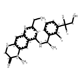 CCc1nc(N[C@H](C)c2cccc(C(F)(F)CO)c2F)c2cc3c(cc2n1)OCC(=O)N3C